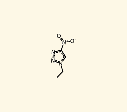 CCn1cc([N+](=O)[O-])nn1